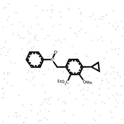 CCOC(=O)c1c(C[S+]([O-])c2ccccc2)ccc(C2CC2)c1OC